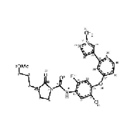 COCCCN1CCN(C(=O)Nc2cc(Cl)c(Oc3ccnc(-c4cnn(C)c4)c3)cc2F)C1=O